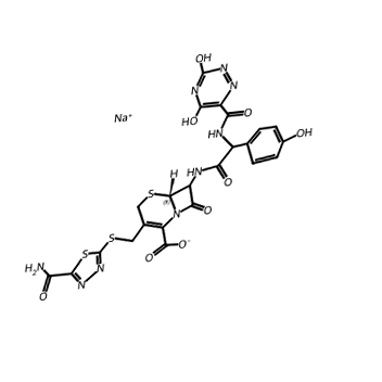 NC(=O)c1nnc(SCC2=C(C(=O)[O-])N3C(=O)C(NC(=O)C(NC(=O)c4nnc(O)nc4O)c4ccc(O)cc4)[C@H]3SC2)s1.[Na+]